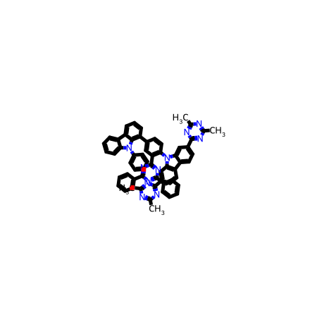 Cc1nc(C)nc(-c2ccc3c4ccc(-c5nc(C)nc(C)n5)cc4n(-c4ccc(-c5cccc6c7ccccc7n(-c7ccccc7)c56)cc4-c4nc(-c5ccccc5)nc(-c5ccccc5)n4)c3c2)n1